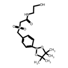 CC1(C)OB(c2ccc(CS(=O)(=O)CC(=O)NCCO)cc2)OC1(C)C